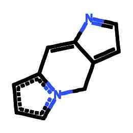 C1=NC2=Cc3cccn3CC2=C1